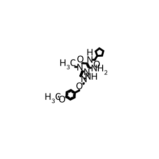 CCN1C(=O)C(NC(=O)C2CCCC2)=C(N)N2NN(COCc3ccc(OC)cc3)C=C12